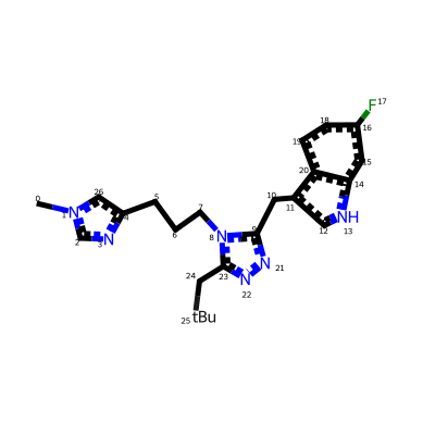 Cn1cnc(CCCn2c(Cc3c[nH]c4cc(F)ccc34)nnc2CC(C)(C)C)c1